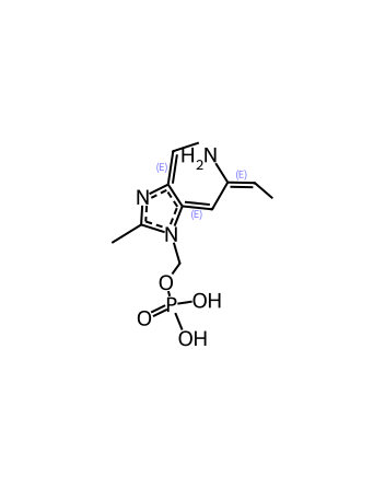 C\C=C(N)/C=c1\c(=C/C)nc(C)n1COP(=O)(O)O